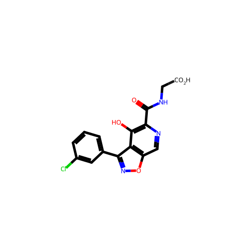 O=C(O)CNC(=O)c1ncc2onc(-c3cccc(Cl)c3)c2c1O